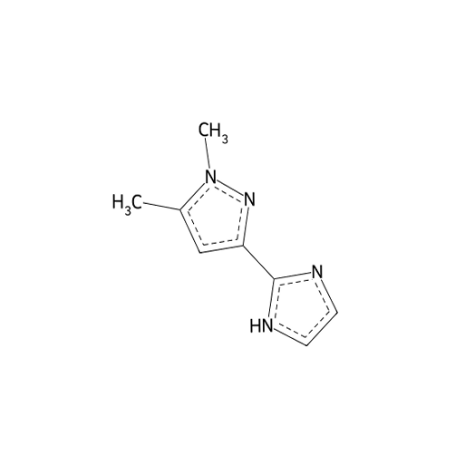 Cc1cc(-c2ncc[nH]2)nn1C